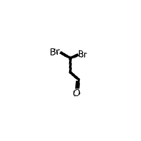 O=CCC(Br)Br